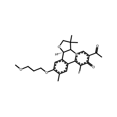 COCCCOc1cc2c(cc1C)-c1c(F)c(=O)c(C(C)=O)cn1C1[C@@H]2OCC1(C)C